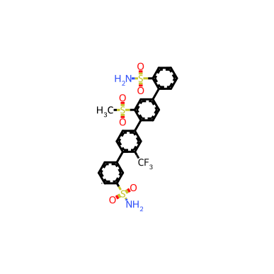 CS(=O)(=O)c1cc(-c2ccccc2S(N)(=O)=O)ccc1-c1ccc(-c2cc[c]c(S(N)(=O)=O)c2)c(C(F)(F)F)c1